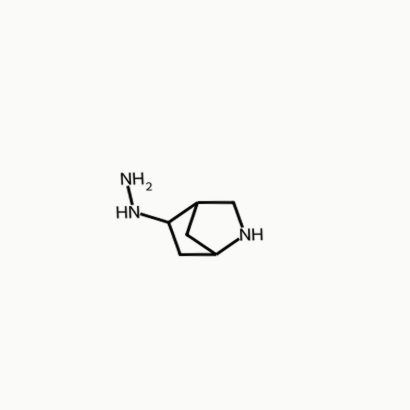 NNC1CC2CC1CN2